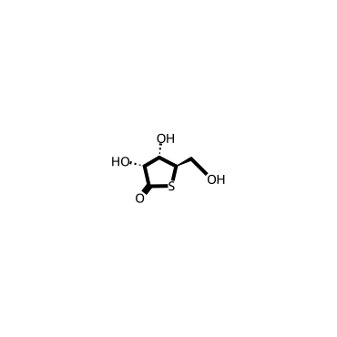 O=C1S[C@H](CO)[C@@H](O)[C@H]1O